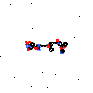 O=C(CCc1ccc(OCCCCCNCC(O)c2ccc(O)c3[nH]c(=O)ccc23)c(-c2ccccc2)c1)N1CCC(C(=O)OC2CN3CCC2CC3)(c2ccccc2)CC1